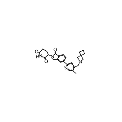 Cc1cnc(-c2ccc3c(c2)CN(C2CCC(=O)NC2=O)C3=O)cc1CN1CC2(CCC2)C1